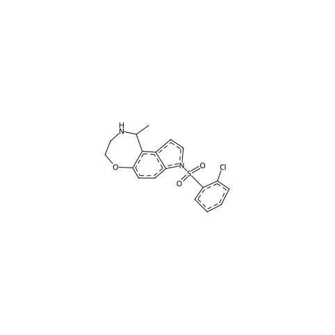 CC1NCCOc2ccc3c(ccn3S(=O)(=O)c3ccccc3Cl)c21